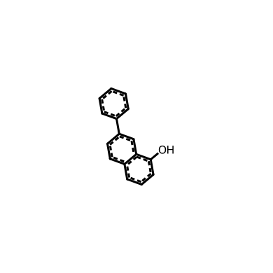 Oc1cccc2ccc(-c3ccccc3)cc12